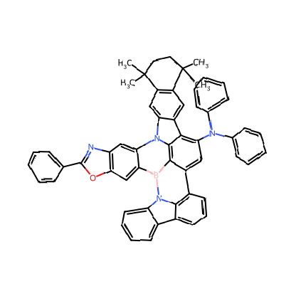 CC1(C)CCC(C)(C)c2cc3c(cc21)c1c(N(c2ccccc2)c2ccccc2)cc2c4c1n3-c1cc3nc(-c5ccccc5)oc3cc1B4n1c3ccccc3c3cccc-2c31